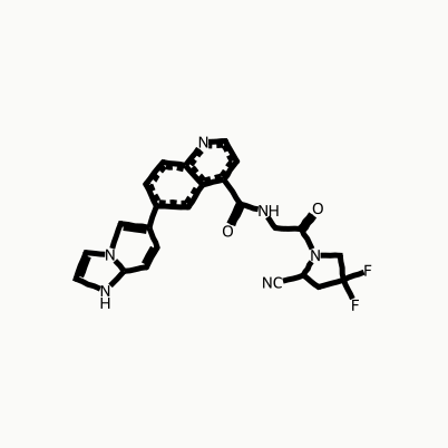 N#CC1CC(F)(F)CN1C(=O)CNC(=O)c1ccnc2ccc(C3=CN4C=CNC4C=C3)cc12